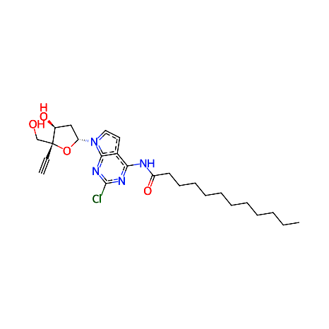 C#C[C@]1(CO)O[C@@H](n2ccc3c(NC(=O)CCCCCCCCCCC)nc(Cl)nc32)C[C@@H]1O